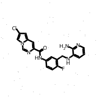 Nc1ncccc1NCc1cc(NC(=O)c2cc3cc(Cl)cn3cn2)ccc1F